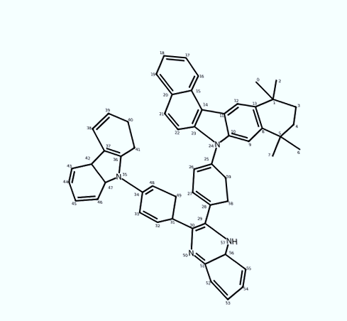 CC1(C)CCC(C)(C)c2cc3c(cc21)c1c2ccccc2ccc1n3C1=CC=C(C2=C(C3C=CC(N4C5=C(C=CCC5)C5C=CC=CC54)=CC3)N=C3C=CC=CC3N2)CC1